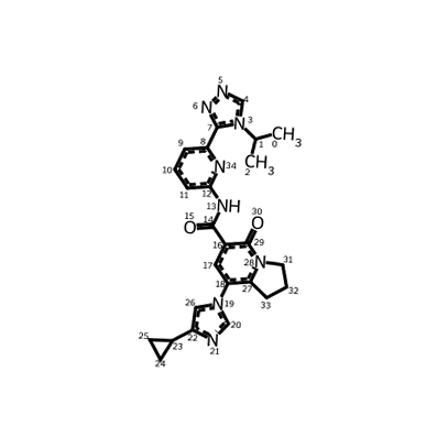 CC(C)n1cnnc1-c1cccc(NC(=O)c2cc(-n3cnc(C4CC4)c3)c3n(c2=O)CCC3)n1